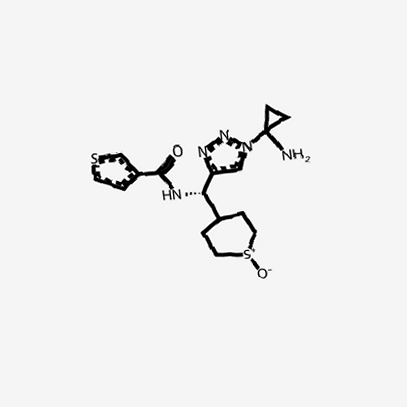 NC1(n2cc([C@@H](NC(=O)c3ccsc3)C3CC[S+]([O-])CC3)nn2)CC1